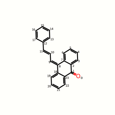 O=C1c2ccccc2C(=CC=Cc2ccccc2)c2ccccc21